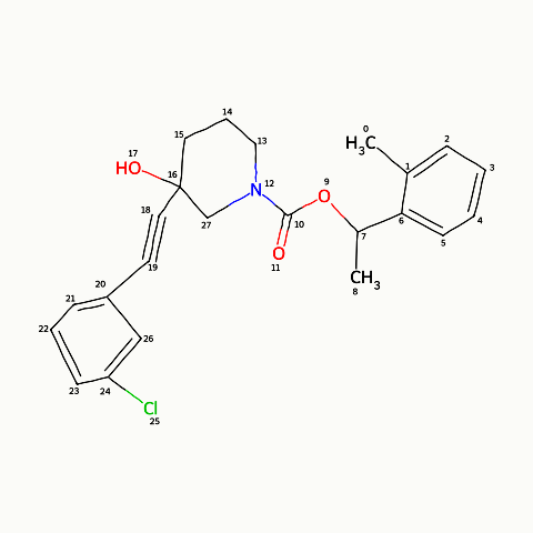 Cc1ccccc1C(C)OC(=O)N1CCCC(O)(C#Cc2cccc(Cl)c2)C1